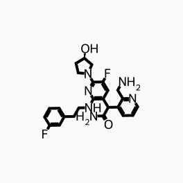 NCc1ncccc1C(C(N)=O)c1cc(F)c(N2CC[C@@H](O)C2)nc1NCCc1cccc(F)c1